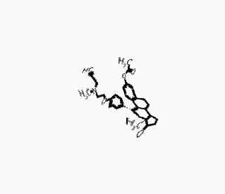 C#CCN(C)CCOc1ccc([C@H]2C[C@]3(C)C(=O)CCC3C3CCc4cc(OC(C)=O)ccc4C32)cc1